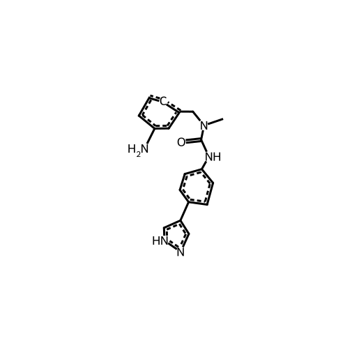 CN(Cc1cccc(N)c1)C(=O)Nc1ccc(-c2cn[nH]c2)cc1